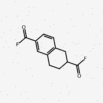 O=C(F)c1ccc2c(c1)CCC(C(=O)F)C2